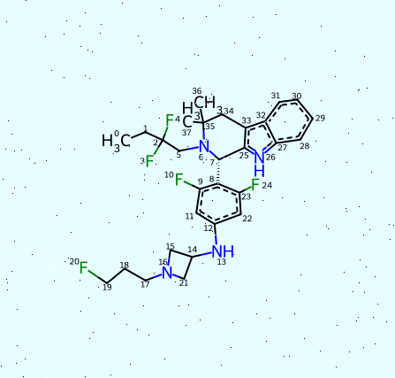 CCC(F)(F)CN1[C@@H](c2c(F)cc(NC3CN(CCCF)C3)cc2F)c2[nH]c3ccccc3c2CC1(C)C